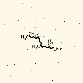 C/C(=C\C[O][Sn])CCC[C@H](C)CCC[C@H](C)CCCC(C)C